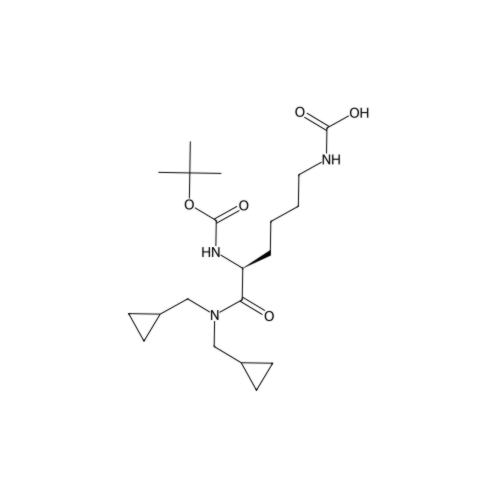 CC(C)(C)OC(=O)N[C@@H](CCCCNC(=O)O)C(=O)N(CC1CC1)CC1CC1